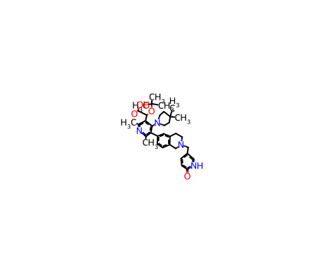 Cc1nc(C)c([C@H](OC(C)(C)C)C(=O)O)c(N2CCC(C)(C)CC2)c1-c1ccc2c(c1)CCN(Cc1ccc(=O)[nH]c1)C2